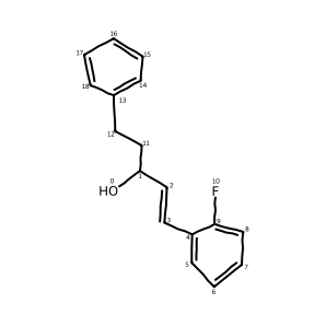 OC(/C=C/c1ccccc1F)CCc1ccccc1